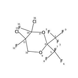 FC(F)(F)C1(C(F)(F)F)OCC(F)(Cl)C(F)(Cl)O1